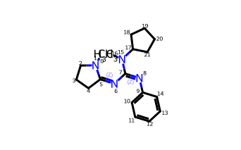 CN1CCC/C1=N/C(=N\c1ccccc1)N(C)C1CCCC1